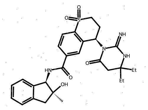 CCC1(CC)CC(=O)N([C@@H]2CCS(=O)(=O)c3ccc(C(=O)N[C@@H]4c5ccccc5C[C@]4(C)O)cc32)C(=N)N1